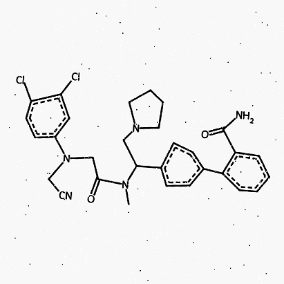 CN(C(=O)CN(CC#N)c1ccc(Cl)c(Cl)c1)C(CN1CCCC1)c1ccc(-c2ccccc2C(N)=O)cc1